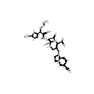 CO/N=C(\C(=O)N[C@@H]1C(=O)N2C(C(=O)[O-])=C(Cn3cc[n+]4cc(C#N)ccc34)CS[C@H]12)c1csc(N)n1